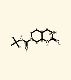 CC(C)(C)OC(=O)N1CCC2CNC(=O)OC2C1